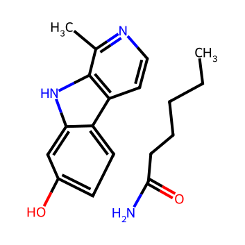 CCCCCC(N)=O.Cc1nccc2c1[nH]c1cc(O)ccc12